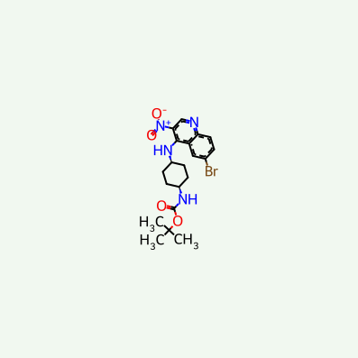 CC(C)(C)OC(=O)N[C@H]1CC[C@@H](Nc2c([N+](=O)[O-])cnc3ccc(Br)cc23)CC1